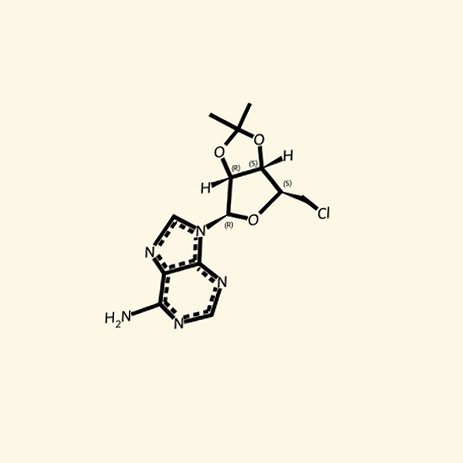 CC1(C)O[C@@H]2[C@H](O1)[C@@H](CCl)O[C@H]2n1cnc2c(N)ncnc21